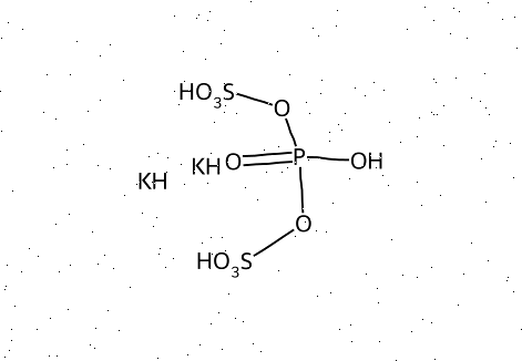 O=P(O)(OS(=O)(=O)O)OS(=O)(=O)O.[KH].[KH]